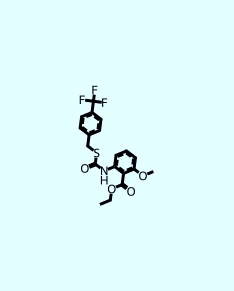 CCOC(=O)c1c(NC(=O)SCc2ccc(C(F)(F)F)cc2)cccc1OC